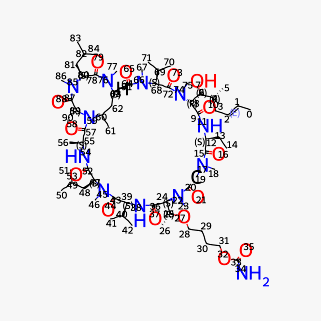 C/C=C/C[C@@H](C)[C@@H](O)[C@@H]1C(=O)N[C@@H](CC)C(=O)N(C)CC(=O)N(C)[C@@H]([C@@H](C)OCCCCOC(N)=O)C(=O)N[C@@H](C(C)C)C(=O)N(C)[C@@H](CC(C)C)C(=O)N[C@@H](C)C(=O)N2C(C)C[C@@H](C(=O)N(C)[C@@H](C(C)C)C(=O)N1C)N(C)C(=O)[C@H](CC(C)C)N(C)C(=O)[C@H]2C